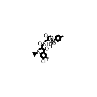 CC(=O)C(CNC(=O)c1cn(C2CC2)c2cc(Cl)c(F)cc2c1=O)NS(=O)(=O)c1ccc(C)cc1